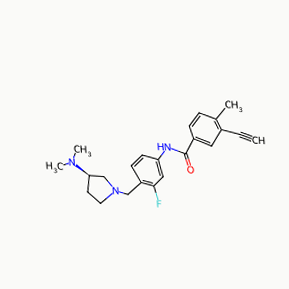 C#Cc1cc(C(=O)Nc2ccc(CN3CC[C@@H](N(C)C)C3)c(F)c2)ccc1C